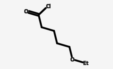 CCOCCCCC(=O)Cl